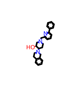 O[C@H]1CN(Cc2cccc(-c3ccccc3)n2)CCC1N1CCc2ccccc2C1